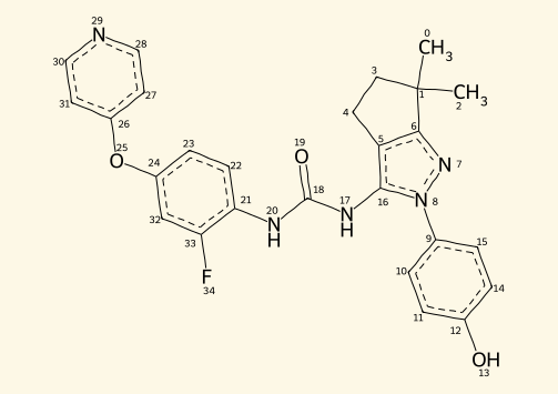 CC1(C)CCc2c1nn(-c1ccc(O)cc1)c2NC(=O)Nc1ccc(Oc2ccncc2)cc1F